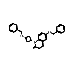 O=C1CCc2cc(OCc3ccccc3)ccc2N1[C@H]1C[C@@H](OCc2ccccc2)C1